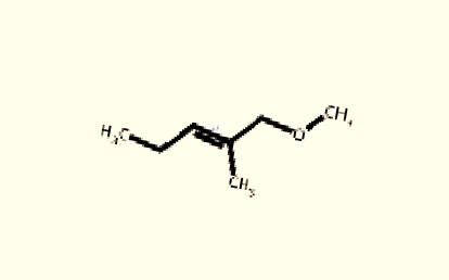 CC/C=C(\C)COC